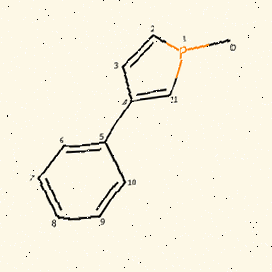 Cp1ccc(-c2ccccc2)c1